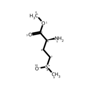 COC(=O)[C@@H](N)CC[S+](C)[O-]